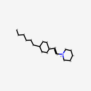 CCCCCCC1CCC(C=CN2CCCCC2)CC1